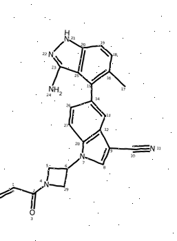 C=CC(=O)N1CC(n2cc(C#N)c3cc(-c4c(C)ccc5[nH]nc(N)c45)ccc32)C1